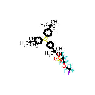 CC(C)(C)c1ccc([S+](c2ccc(C(C)(C)C)cc2)c2ccc(C(C)(C)C)cc2)cc1.O=S(=O)([O-])C(F)(F)C(F)(F)OC(F)(F)C(F)(F)I